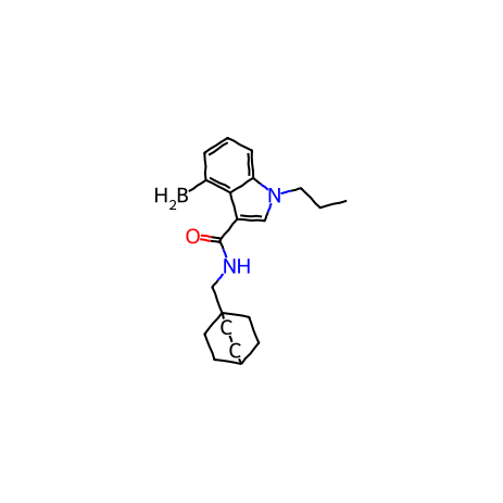 Bc1cccc2c1c(C(=O)NCC13CCC(CC1)CC3)cn2CCC